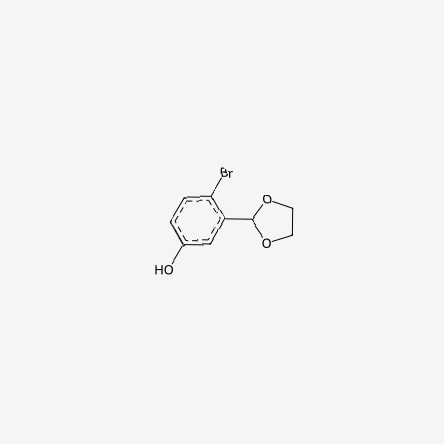 Oc1ccc(Br)c(C2OCCO2)c1